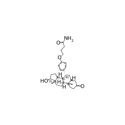 C[C@]12CCC(=O)C[C@@H]1C[C@@H](c1ccc(OCCCC(N)=O)cc1)[C@@H]1[C@@H]2CC[C@]2(C)[C@@H](O)CC[C@@H]12